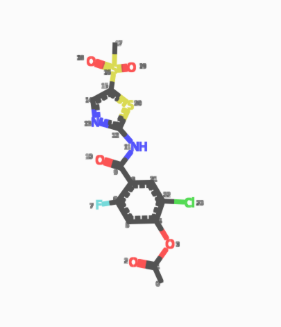 CC(=O)Oc1cc(F)c(C(=O)Nc2ncc(S(C)(=O)=O)s2)cc1Cl